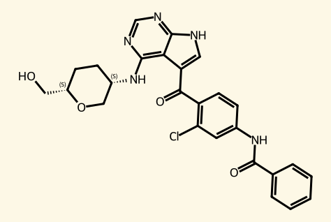 O=C(Nc1ccc(C(=O)c2c[nH]c3ncnc(N[C@H]4CC[C@@H](CO)OC4)c23)c(Cl)c1)c1ccccc1